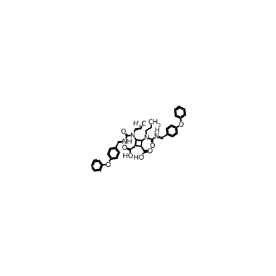 CCCN(C(=O)NCc1ccc(Oc2ccccc2)cc1)C1C(C(=O)O)C(C(=O)O)C1N(CCC)C(=O)NCc1ccc(Oc2ccccc2)cc1